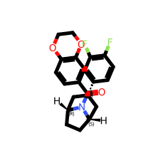 O=C(c1ccc2c(c1)OCCO2)N1[C@@H]2CC[C@H]1C[C@@H](c1ccc(F)c(F)c1)C2